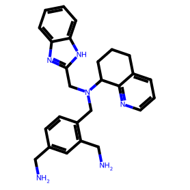 NCc1ccc(CN(Cc2nc3ccccc3[nH]2)C2CCCc3cccnc32)c(CN)c1